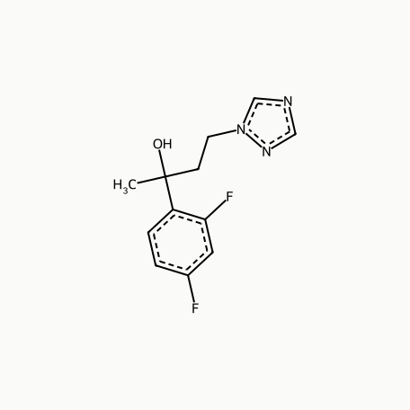 CC(O)(CCn1cncn1)c1ccc(F)cc1F